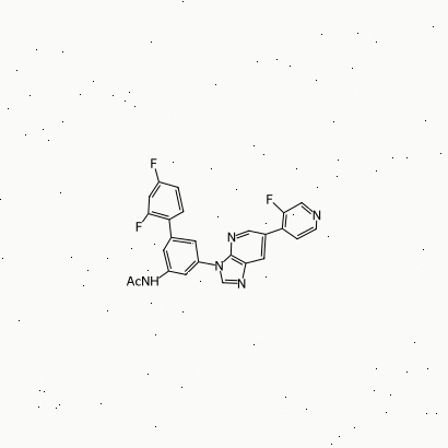 CC(=O)Nc1cc(-c2ccc(F)cc2F)cc(-n2cnc3cc(-c4ccncc4F)cnc32)c1